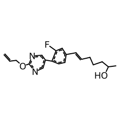 C=CCOc1ncc(-c2ccc(C=CCCCC(C)O)cc2F)cn1